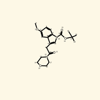 COc1ccc2c(c1)c(CC(=O)N1CCOCC1)cn2C(=O)OC(C)(C)C